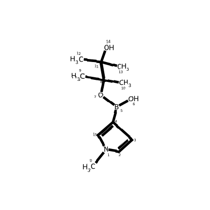 Cn1ccc(B(O)OC(C)(C)C(C)(C)O)c1